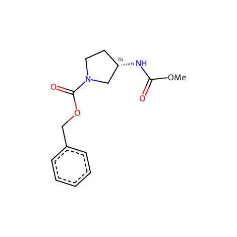 COC(=O)N[C@H]1CCN(C(=O)OCc2ccccc2)C1